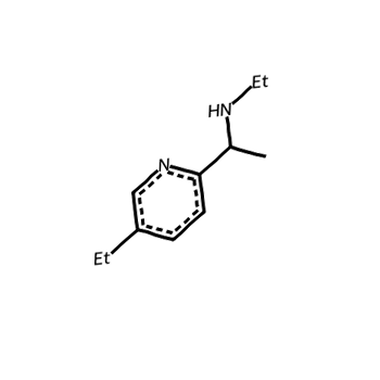 CCNC(C)c1ccc(CC)cn1